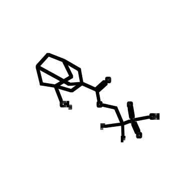 CC12CC3CC(C1)CC(C(=O)OCC(F)(F)S(=O)(=O)O)(C3)C2